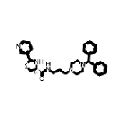 O=C(NCCCN1CCN(C(c2ccccc2)c2ccccc2)CC1)[C@@H]1CSC(c2cccnc2)N1